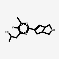 Cc1nc(C2=CC3CNCC3C2)nc(CC(C)O)c1F